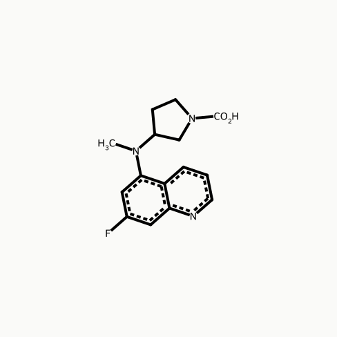 CN(c1cc(F)cc2ncccc12)C1CCN(C(=O)O)C1